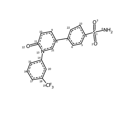 NS(=O)(=O)c1ccc(-c2ccc(=O)n(-c3cccc(C(F)(F)F)c3)c2)cc1